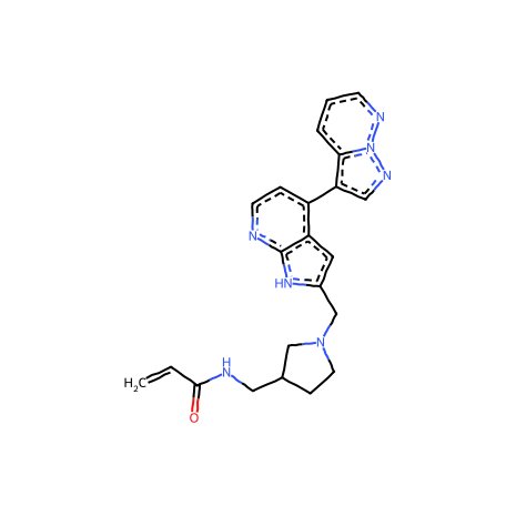 C=CC(=O)NCC1CCN(Cc2cc3c(-c4cnn5ncccc45)ccnc3[nH]2)C1